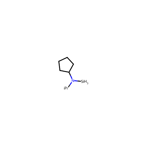 CC(C)N([SiH3])C1CCCC1